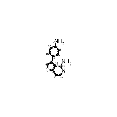 Nc1ccc(-c2coc3ccnc(N)c23)cc1